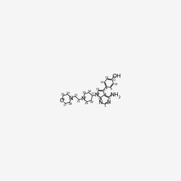 Nc1ncnc2c1c(-c1ccc(O)cc1)cn2C1CCN(CCN2CCOCC2)CC1